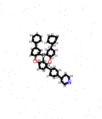 c1ccc(-c2ccc3c(c2)B2c4cc(-c5ccccc5)ccc4Oc4c(-c5ccc(-c6ccncc6)cc5)ccc(c42)O3)cc1